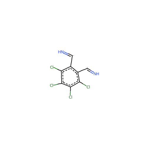 N=[C]c1c(Cl)c(Cl)c(Cl)c(Cl)c1[C]=N